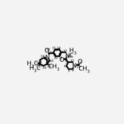 CC(=O)N1CCCC(C(=O)N(C)Cc2ccc(C(=O)N3CC4(C)CC3CC(C)(C)C4)cc2)C1